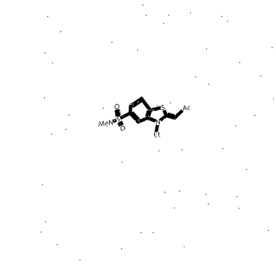 CCN1/C(=C/C(C)=O)Sc2ccc(S(=O)(=O)NC)cc21